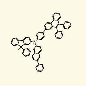 CC1(c2ccccc2)c2ccccc2-c2ccc(N(c3ccc(-c4ccc5c(c4)c(-c4ccccc4)c(-c4ccccc4)c4ccccc45)cc3)c3ccc4cc(-c5ccccc5)ccc4c3)cc21